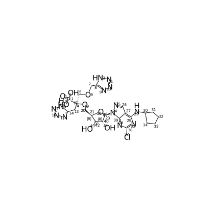 O=P(O)(O)[C@](COCc1nnn[nH]1)(Cc1nnn[nH]1)OC[C@H]1O[C@@H](n2ncc3c(NC4CCCC4)nc(Cl)nc32)[C@H](O)[C@@H]1O